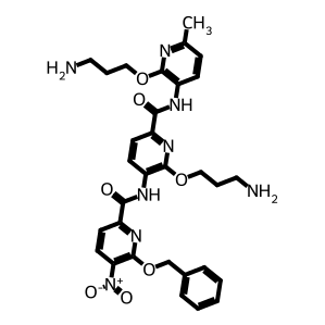 Cc1ccc(NC(=O)c2ccc(NC(=O)c3ccc([N+](=O)[O-])c(OCc4ccccc4)n3)c(OCCCN)n2)c(OCCCN)n1